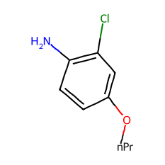 CCCOc1ccc(N)c(Cl)c1